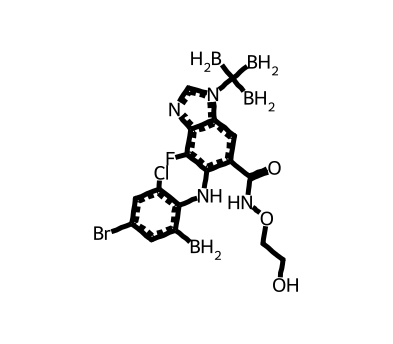 Bc1cc(Br)cc(Cl)c1Nc1c(C(=O)NOCCO)cc2c(ncn2C(B)(B)B)c1F